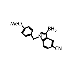 Bc1cn(Cc2ccc(OC)cc2)c2ccc(C#N)cc12